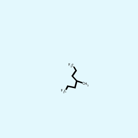 CC(CCC(F)(F)F)CCC(F)(F)F